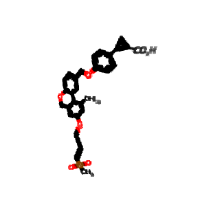 Cc1cc(OCCCS(C)(=O)=O)cc2c1-c1cc(COc3ccc([C@H]4C[C@@H]4C(=O)O)cc3)ccc1OC2